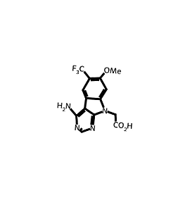 COc1cc2c(cc1C(F)(F)F)c1c(N)ncnc1n2CC(=O)O